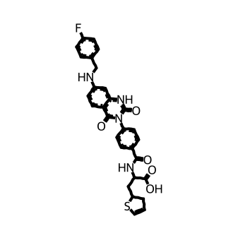 O=C(NC(CC1CC=CS1)C(=O)O)c1ccc(-n2c(=O)[nH]c3cc(NCc4ccc(F)cc4)ccc3c2=O)cc1